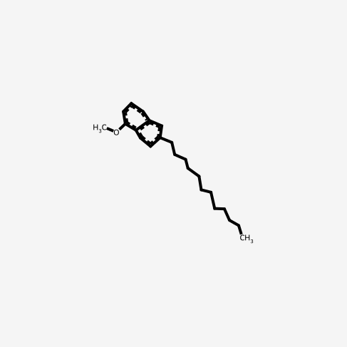 CCCCCCCCCCCCc1ccc2c(OC)cccc2c1